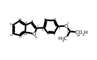 CC(Oc1ccc(-c2cc3ccccc3o2)cc1)C(=O)O